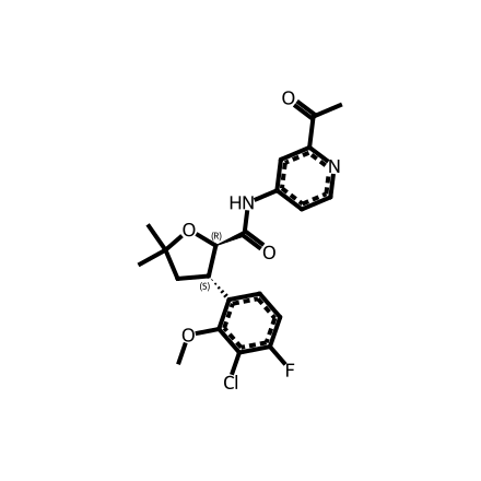 COc1c([C@@H]2CC(C)(C)O[C@H]2C(=O)Nc2ccnc(C(C)=O)c2)ccc(F)c1Cl